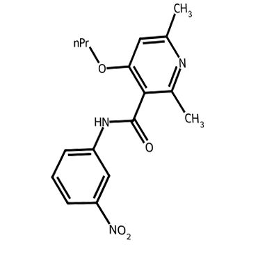 CCCOc1cc(C)nc(C)c1C(=O)Nc1cccc([N+](=O)[O-])c1